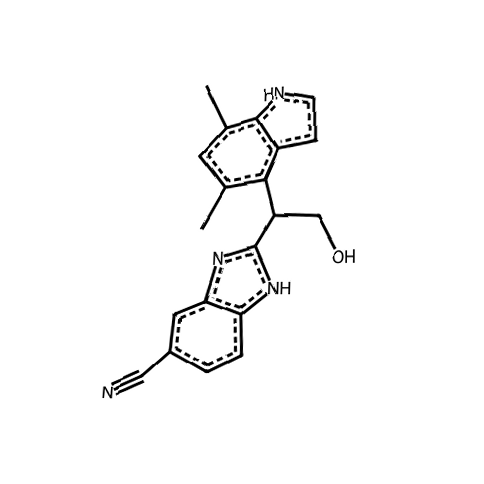 Cc1cc(C)c2[nH]ccc2c1C(CO)c1nc2cc(C#N)ccc2[nH]1